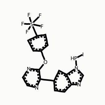 FS(F)(F)(F)(F)c1ccc(Oc2nccnc2-c2ccc3ncn(PI)c3c2)cc1